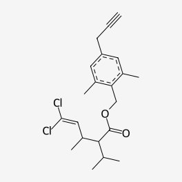 C#CCc1cc(C)c(COC(=O)C(C(C)C)C(C)C=C(Cl)Cl)c(C)c1